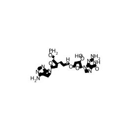 Nc1nc2c(ncn2[C@@H]2OC(OPCC[C@H]3C[C@H](n4ccc5c(N)ncnc54)O[C@@H]3COP)C[C@H]2OO)c(=O)[nH]1